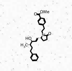 COC(=O)c1ccc(CCN2C(=O)CC[C@@H]2C=C[C@H](O)[C@@H](C)CCc2ccccc2)cc1